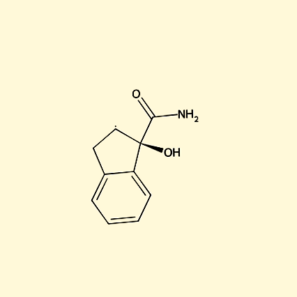 NC(=O)[C@@]1(O)[CH]Cc2ccccc21